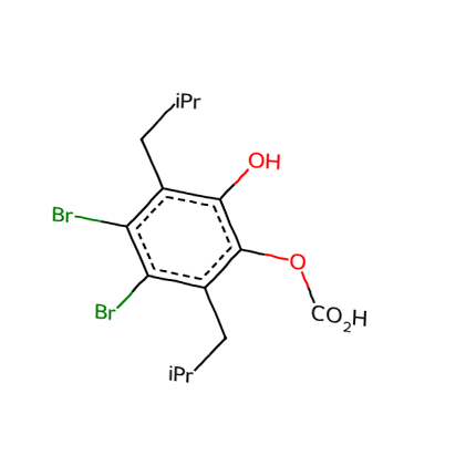 CC(C)Cc1c(O)c(OC(=O)O)c(CC(C)C)c(Br)c1Br